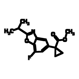 COC(=O)C1(c2cc(F)c3oc(C(C)C)nc3c2)CC1